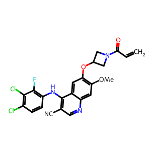 C=CC(=O)N1CC(Oc2cc3c(Nc4ccc(Cl)c(Cl)c4F)c(C#N)cnc3cc2OC)C1